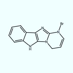 BrN1C=CCn2c1nc1c3ccccc3[nH]c12